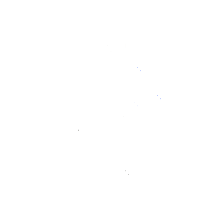 Cn1cnnc1-c1c(C(=O)O)cccc1-c1ccc(C#N)cc1